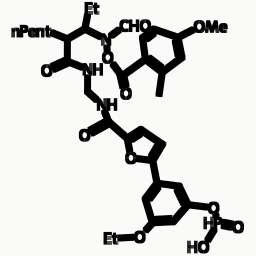 CCCCCC(C(=O)NCNC(=O)c1ccc(-c2cc(OCC)cc(O[PH](=O)O)c2)o1)C(CC)N(C=O)OC(=O)c1ccc(OC)cc1C